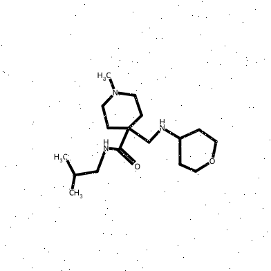 CC(C)CNC(=O)C1(CNC2CCOCC2)CCN(C)CC1